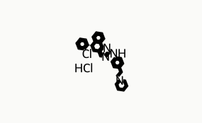 Cl.Clc1ccccc1[C@H]1Cc2cnc(Nc3ccc(CCN4CCCCC4)cc3)nc2-c2ccccc21